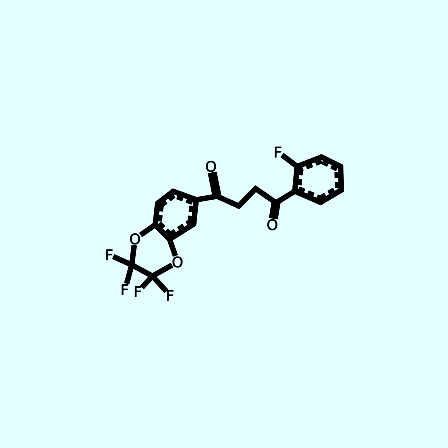 O=C(CCC(=O)c1ccccc1F)c1ccc2c(c1)OC(F)(F)C(F)(F)O2